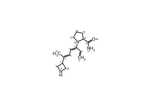 C=C/C(=C\C=C(/C)C1CNC1)N1CCCC1C(N)=O